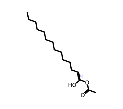 CCCCCCCCCCCC/C=C(\O)OC(C)=O